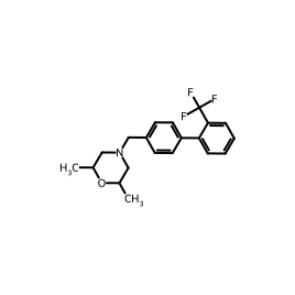 CC1CN(Cc2ccc(-c3ccccc3C(F)(F)F)cc2)CC(C)O1